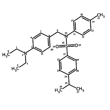 CCN(CC)c1ccc(CN(c2ccc(C)cc2)S(=O)(=O)c2ccc(C(C)C)cc2)cc1